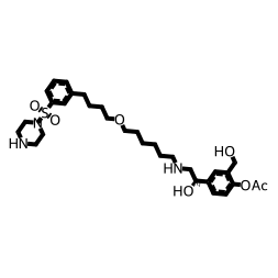 CC(=O)Oc1ccc([C@@H](O)CNCCCCCCOCCCCc2cccc(S(=O)(=O)N3CCNCC3)c2)cc1CO